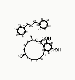 CC1CCCC(=O)CCCCCc2cc(O)cc(O)c2C(=O)O1.c1ccc(COCc2ccccc2)cc1